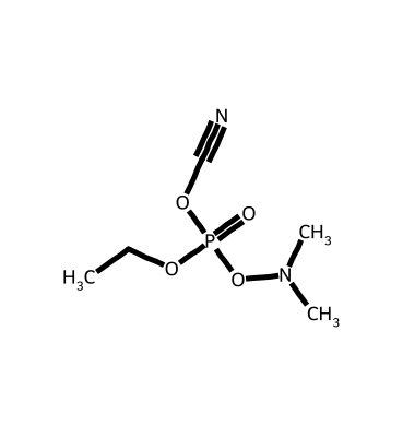 CCOP(=O)(OC#N)ON(C)C